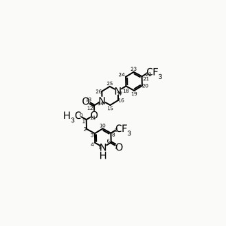 CC(Cc1c[nH]c(=O)c(C(F)(F)F)c1)OC(=O)N1CCN(c2ccc(C(F)(F)F)cc2)CC1